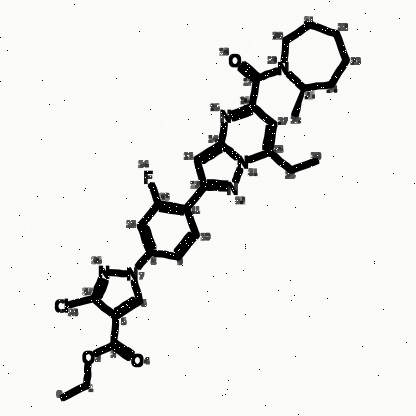 CCOC(=O)c1cn(-c2ccc(-c3cc4nc(C(=O)N5CCCCC[C@H]5C)cc(CC)n4n3)c(F)c2)nc1Cl